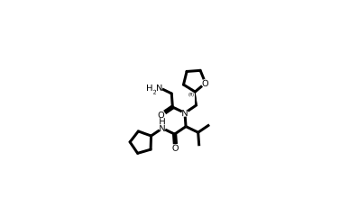 CC(C)C(C(=O)NC1CCCC1)N(C[C@H]1CCCO1)C(=O)CN